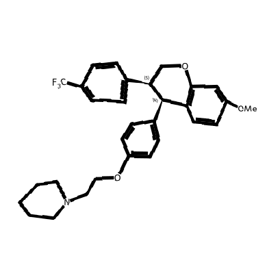 COc1ccc2c(c1)OC[C@H](c1ccc(C(F)(F)F)cc1)[C@@H]2c1ccc(OCCN2CCCCC2)cc1